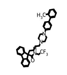 Cc1ccccc1-c1ccc(N2CCN(CCCCC3(C(=O)NCC(F)(F)F)c4ccccc4-c4ccccc43)CC2)cc1